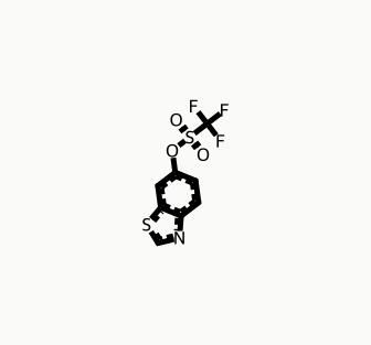 O=S(=O)(Oc1ccc2ncsc2c1)C(F)(F)F